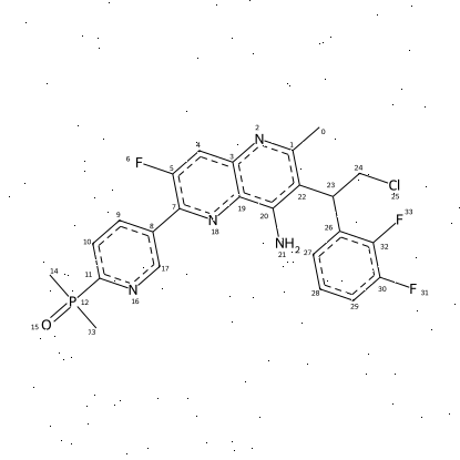 Cc1nc2cc(F)c(-c3ccc(P(C)(C)=O)nc3)nc2c(N)c1C(CCl)c1cccc(F)c1F